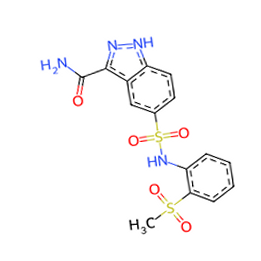 CS(=O)(=O)c1ccccc1NS(=O)(=O)c1ccc2[nH]nc(C(N)=O)c2c1